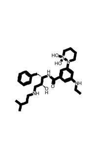 CCNc1cc(C(=O)N[C@@H](Cc2ccccc2)[C@H](O)CNCCC(C)C)cc(N2CCCCS2(O)O)c1